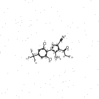 N#Cc1nn(-c2c(Cl)cc(C(F)(F)F)cc2Cl)c(N)c1C(=O)CF